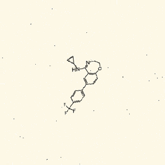 FC(F)(F)c1ccc(-c2ccc3c(c2)C(NC2CC2)=NCCO3)cc1